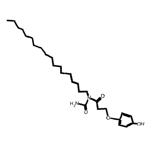 CCCCCCCCCCCCCCCCCCN(C(N)=O)C(=O)CCOc1ccc(O)cc1